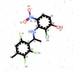 Cc1cc(F)c(C(C)Nc2c([N+](=O)[O-])ccc(O)c2Cl)c(F)c1F